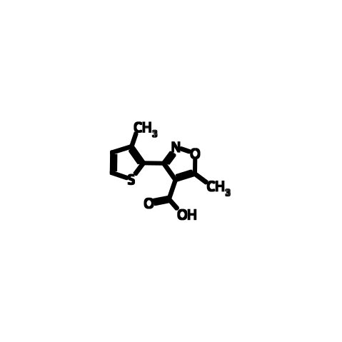 Cc1ccsc1-c1noc(C)c1C(=O)O